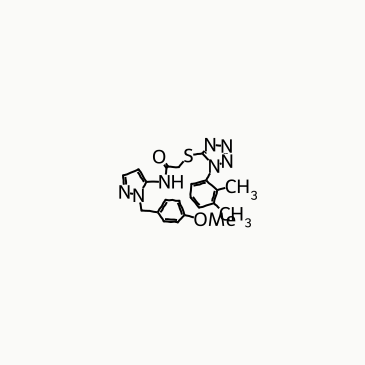 COc1ccc(Cn2nccc2NC(=O)CSc2nnnn2-c2cccc(C)c2C)cc1